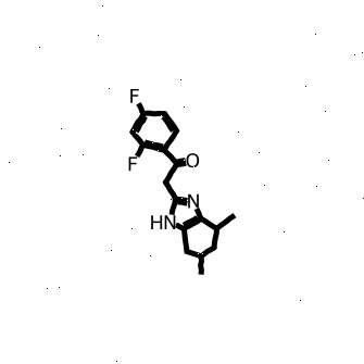 CC1Cc2[nH]c(CC(=O)c3ccc(F)cc3F)nc2C(C)C1